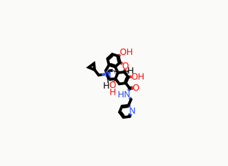 O=C(NCc1ccccn1)C1=C(O)[C@@H]2Oc3c(O)ccc4c3[C@@]23CCN(CC2CC2)[C@H](C4)[C@]3(O)C1